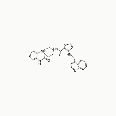 O=C(N[C@H]1CC[C@@]2(CC1)Nc1ccccc1NC2=O)c1sccc1NCc1ccnc2ccccc12